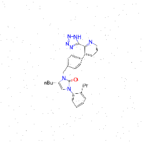 CCCCc1cn(-c2ccccc2C(C)C)c(=O)n1Cc1ccc(-c2cccnc2-c2nnn[nH]2)cc1